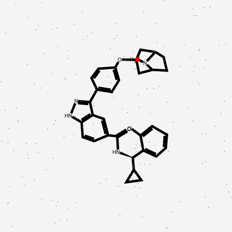 CN1C2CCC1CC(Oc1ccc(-c3n[nH]c4ccc(C(=O)N[C@@H](c5ccccc5Cl)C5CC5)cc34)cc1)C2